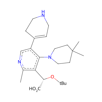 Cc1ncc(C2=CCNCC2)c(N2CCC(C)(C)CC2)c1[C@H](OC(C)(C)C)C(=O)O